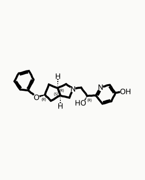 Oc1ccc([C@H](O)CN2C[C@H]3C[C@@H](Oc4ccccc4)C[C@H]3C2)nc1